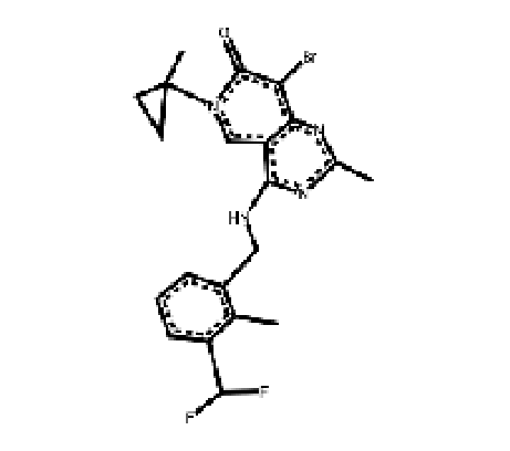 Cc1nc(NCc2cccc(C(F)F)c2C)c2cn(C3(C)CC3)c(=O)c(Br)c2n1